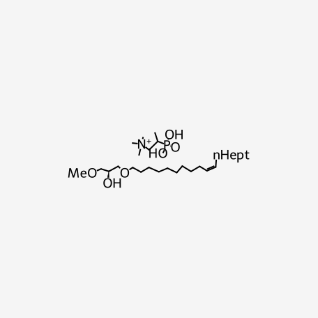 CC(C[N+](C)(C)C)P(=O)(O)O.CCCCCCC/C=C\CCCCCCCCCOC[C@@H](O)COC